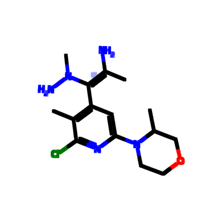 C/C(N)=C(\c1cc(N2CCOCC2C)nc(Cl)c1C)N(C)N